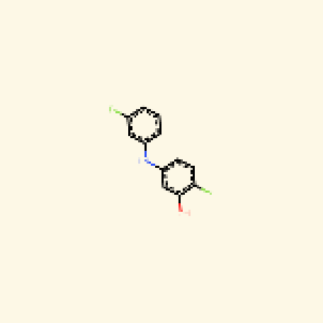 Oc1cc(Nc2cccc(F)c2)ccc1F